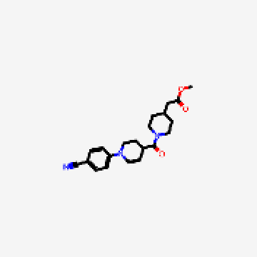 COC(=O)CC1CCN(C(=O)C2CCN(c3ccc(C#N)cc3)CC2)CC1